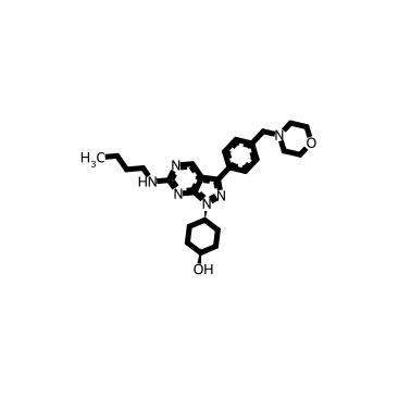 CCCCNc1ncc2c(-c3ccc(CN4CCOCC4)cc3)nn([C@H]3CC[C@H](O)CC3)c2n1